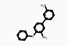 Nc1cccc(-c2ccc(Sc3ccccc3)c(N)c2)c1